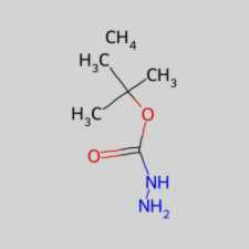 C.CC(C)(C)OC(=O)NN